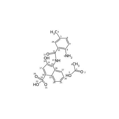 CC(=O)O.Cc1ccc(N)c(C(=O)Nc2c(O)cc(S(=O)(=O)O)c3ccccc23)c1